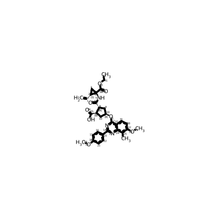 C=C[C@@H]1C[C@]1(NC(=O)[C@@H]1C[C@@H](Oc2nc(-c3ccc(OC)cc3)nc3c(C)c(OC)ccc23)C[C@H]1C(=O)O)C(=O)OCC